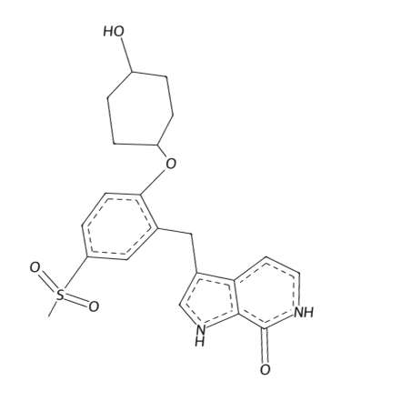 CS(=O)(=O)c1ccc(OC2CCC(O)CC2)c(Cc2c[nH]c3c(=O)[nH]ccc23)c1